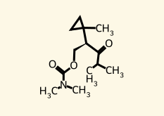 CC(C)C(=O)[C@@H](COC(=O)N(C)C)C1(C)CC1